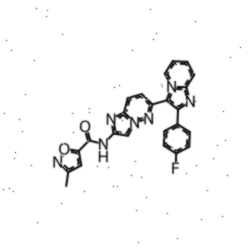 Cc1cc(C(=O)Nc2cn3nc(-c4c(-c5ccc(F)cc5)nc5ccccn45)ccc3n2)on1